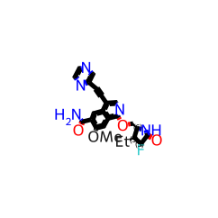 CC[C@@H]1[C@H](F)C(=O)N[C@@H]1COc1ncc(C#Cc2cnccn2)c2cc(C(N)=O)c(OC)cc12